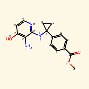 COC(=O)c1ccc(C2(Nc3nccc(O)c3N)CC2)cc1